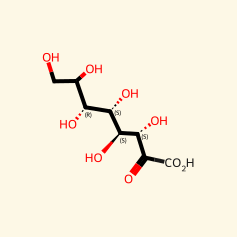 O=C(O)C(=O)[C@@H](O)[C@@H](O)[C@@H](O)[C@H](O)C(O)CO